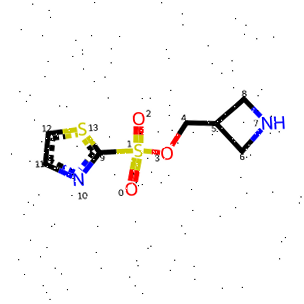 O=S(=O)(OCC1CNC1)c1nccs1